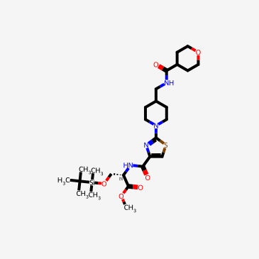 COC(=O)[C@H](CO[Si](C)(C)C(C)(C)C)NC(=O)c1csc(N2CCC(CNC(=O)C3CCOCC3)CC2)n1